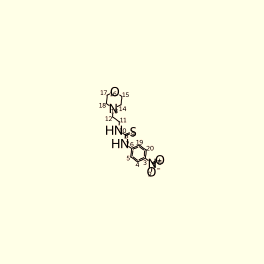 O=[N+]([O-])c1ccc(NC(=S)NCCN2CCOCC2)cc1